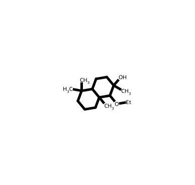 CCOC1C(C)(O)CCC2C(C)(C)CCCC21C